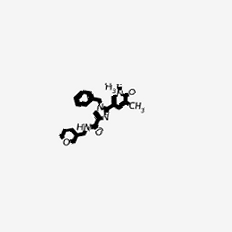 Cc1cc(-c2nc(C(=O)NCC3CCCOC3)cn2Cc2ccccc2)cn(C)c1=O